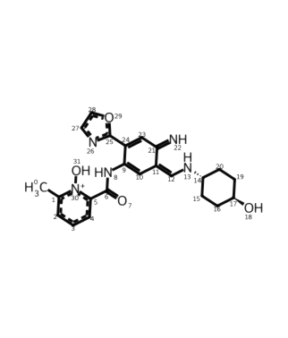 Cc1cccc(C(=O)NC2=C/C(=C/N[C@H]3CC[C@H](O)CC3)C(=N)C=C2c2ncco2)[n+]1O